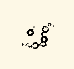 CCN1CCC(N2CCc3ccc(CC4CCN(C)CC4)cc32)CC1.Fc1ccccc1